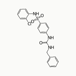 O=C(NCc1ccccc1)Nc1ccc(S(=O)(=O)Nc2ccccc2Cl)cc1